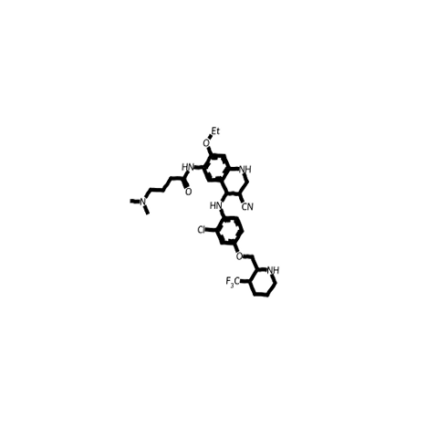 CCOc1cc2c(cc1NC(=O)CCCN(C)C)C(Nc1ccc(OCC3NCCCC3C(F)(F)F)cc1Cl)C(C#N)CN2